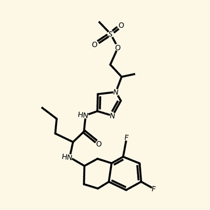 CCCC(NC1CCc2cc(F)cc(F)c2C1)C(=O)Nc1cn(C(C)COS(C)(=O)=O)cn1